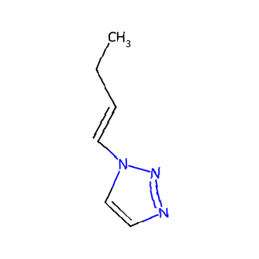 CCC=Cn1ccnn1